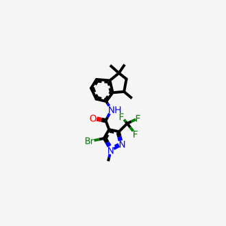 CC1CC(C)(C)c2cccc(NC(=O)c3c(C(F)(F)F)nn(C)c3Br)c21